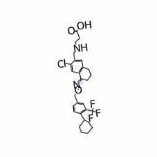 O=C(O)CCNCc1cc2c(cc1Cl)/C(=N/OCc1ccc(C3CCCCC3)c(C(F)(F)F)c1)CCC2